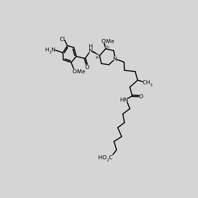 COc1cc(N)c(Cl)cc1C(=O)N[C@@H]1CCN(CCCC(C)CC(=O)NCCCCCCCC(=O)O)C[C@@H]1OC